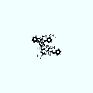 Cc1cccc(C(=O)NC(Cc2ccccc2)P(=O)(O)CC(=O)N[C@@H](CC(C)C)C(=O)N[C@@H](C/C=C/c2ccccc2)C(N)=O)c1O